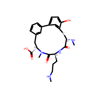 CNCCC[C@@H]1NC(=O)[C@@H](NC)Cc2cc(ccc2O)-c2cccc(c2)C[C@@H](C(=O)O)N(C)C1=O